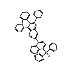 O=P(c1ccccc1)(c1ccccc1)c1ccc(-c2ccc3c(c2)nc(-c2ccccc2)c2c4ccccc4c4ccccc4c32)c2ccccc12